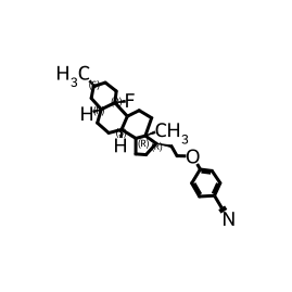 C[C@H]1CC[C@]2(F)C3CC[C@@]4(C)C(CC[C@@H]4CCOc4ccc(C#N)cc4)[C@@H]3CC[C@@H]2C1